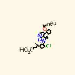 CCCCC1CC1Oc1ccccc1-c1ccncc1C1(NCc2cc([C@H](C)CCCC(=O)O)ccc2Cl)CC1